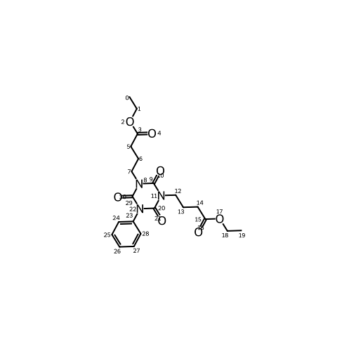 CCOC(=O)CCCn1c(=O)n(CCCC(=O)OCC)c(=O)n(-c2ccccc2)c1=O